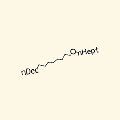 CCCCCCCCCCCCCCCCCCOCCCCCCC